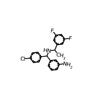 CC(NC(c1ccc(Cl)cc1)c1cccc(N)c1)c1cc(F)cc(F)c1